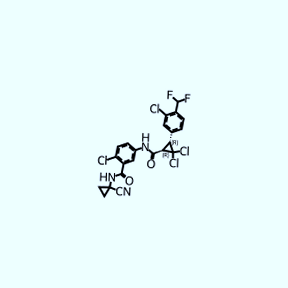 N#CC1(NC(=O)c2cc(NC(=O)[C@H]3[C@H](c4ccc(C(F)F)c(Cl)c4)C3(Cl)Cl)ccc2Cl)CC1